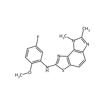 COc1ccc(F)cc1Nc1nc2c(ccc3nc(C)n(C)c32)s1